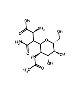 CC(=O)N[C@H]1C(C(C(N)=O)[C@H](N)C(=O)O)O[C@H](CO)[C@@H](O)[C@@H]1O